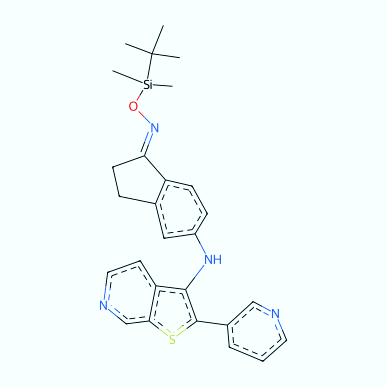 CC(C)(C)[Si](C)(C)ON=C1CCc2cc(Nc3c(-c4cccnc4)sc4cnccc34)ccc21